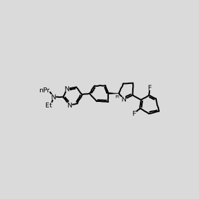 CCCN(CC)c1ncc(-c2ccc([C@H]3CCC(c4c(F)cccc4F)=N3)cc2)cn1